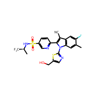 Cc1cc2c(cc1F)c(C#N)c(-c1ccc(S(=O)(=O)N[C@@H](C)C(F)(F)F)cn1)n2-c1ncc(CO)s1